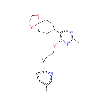 Cc1ccc([C@@H]2CC2COc2nc(C)ncc2C2CCC3(CC2)OCCO3)nc1